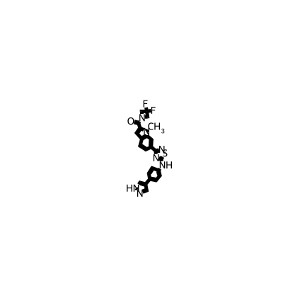 Cn1c(C(=O)N2CC(F)(F)C2)cc2ccc(-c3nsc(Nc4ccc(-c5cn[nH]c5)cc4)n3)cc21